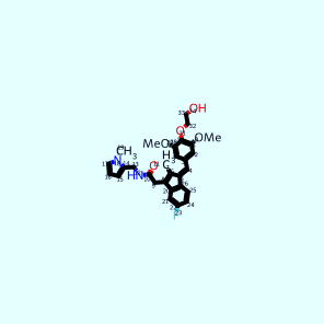 COc1cc(C=C2C(C)=C(CC(=O)NCc3cccn3C)c3cc(F)ccc32)cc(OC)c1OCCO